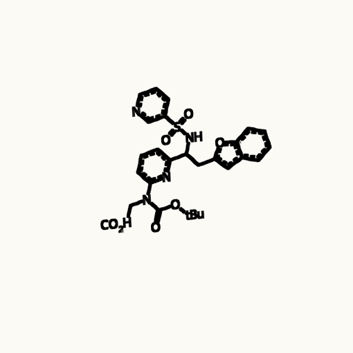 CC(C)(C)OC(=O)N(CC(=O)O)c1cccc(C(Cc2cc3ccccc3o2)NS(=O)(=O)c2cccnc2)n1